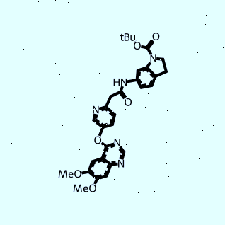 COc1cc2ncnc(Oc3ccc(CC(=O)Nc4ccc5c(c4)N(C(=O)OC(C)(C)C)CC5)nc3)c2cc1OC